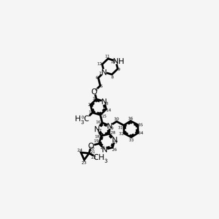 Cc1cc(OCCN2CCNCC2)ncc1-c1nc2c(OC3(C)CC3)ncnc2n1Cc1ccccc1